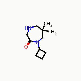 CC1(C)CNCC(=O)N(C2CCC2)C1